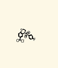 O=C(Cl)c1ccc2c(c1)N(S(=O)(=O)c1ccc(F)cc1)CCS2